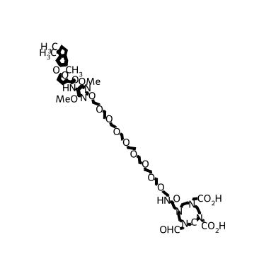 COc1nc(OCCOCCOCCOCCOCCOCCOCCOCCOCCNC(=O)CN2CCN(CC=O)CCN(CC(=O)O)CCN(CC(=O)O)CC2)nc(OC)c1NC(=O)c1ccc(Oc2cc3c(cc2C)CCC3(C)C)o1